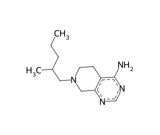 CCCC(C)CN1CCc2c(N)ncnc2C1